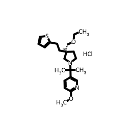 CCOC[C@]1(CCc2cccs2)CCN(C(C)(C)c2ccc(OC)nc2)C1.Cl